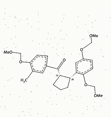 COCOc1ccc(OCOC)c([C@@H]2CCC[C@@H]2C(=O)c2ccc(OCOC)c(C)c2)c1